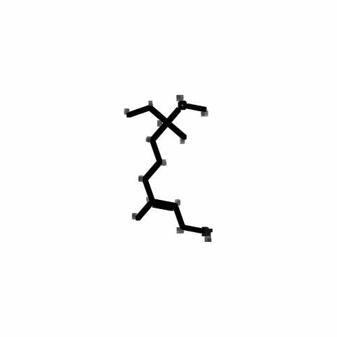 CCC(C)(CCCC(C)=CCBr)OC